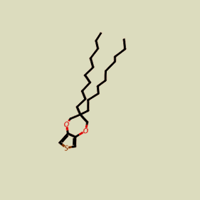 CCCCCCCCCCC1(CCCCCCCCCC)COc2cscc2OC1